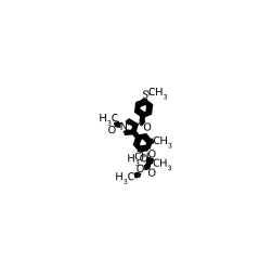 CCOC(=O)C(C)(C)Oc1c(C)cc(C2CN(C(C)=O)C[C@@H]2C(=O)c2ccc(SC)cc2)cc1C